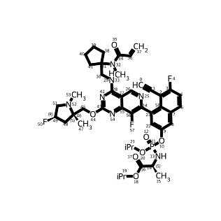 C#Cc1c(F)ccc2cc(OP(=O)(N[C@@H](C)C(=O)OC(C)C)OC(C)C)cc(-c3ncc4c(NCC5(N(C)C(=O)C=C)CCCC5)nc(OC[C@]5(C)C[C@@H](F)CN5C)nc4c3F)c12